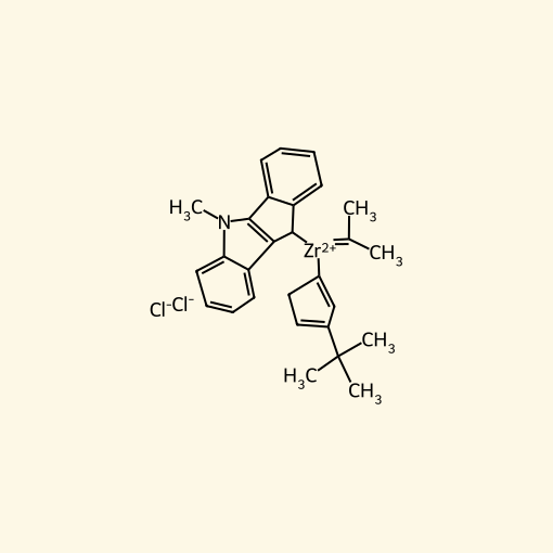 C[C](C)=[Zr+2]([C]1=CC(C(C)(C)C)=CC1)[CH]1c2ccccc2-c2c1c1ccccc1n2C.[Cl-].[Cl-]